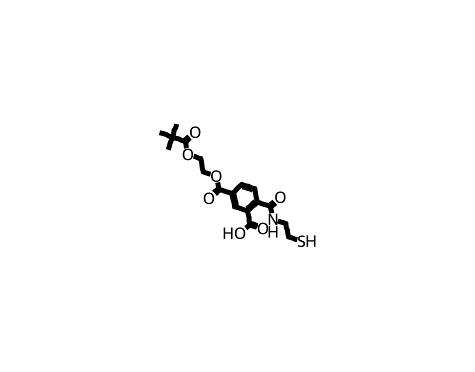 CC(C)(C)C(=O)OCCOC(=O)c1ccc(C(=O)NCCS)c(C(=O)O)c1